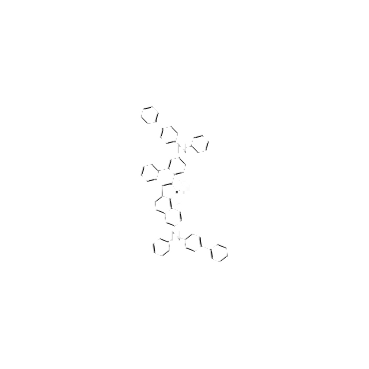 C[Si](C)(C)C1([Si](C)(C)C)c2c(ccc3cc(N(c4ccccc4)c4ccc(-c5ccccc5)cc4)ccc23)-c2c1c1ccc(N(c3ccccc3)c3ccc(-c4ccccc4)cc3)cc1c1ccccc21